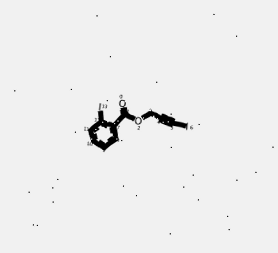 O=C(OCC#CI)c1ccccc1I